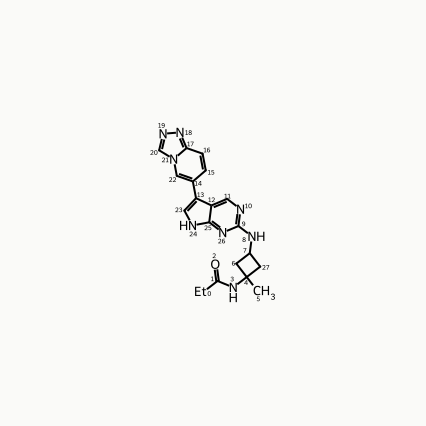 CCC(=O)NC1(C)CC(Nc2ncc3c(-c4ccc5nncn5c4)c[nH]c3n2)C1